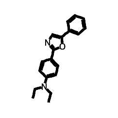 CCN(CC)c1ccc(-c2ncc(-c3ccccc3)o2)cc1